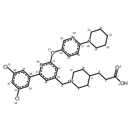 O=C(O)CCC1CCN(Cc2cc(Oc3ccc(N4CCCCC4)nc3)nc(-c3cc(Cl)cc(Cl)c3)c2)CC1